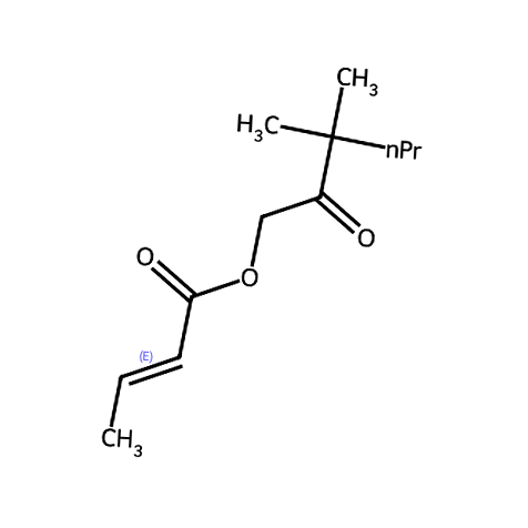 C/C=C/C(=O)OCC(=O)C(C)(C)CCC